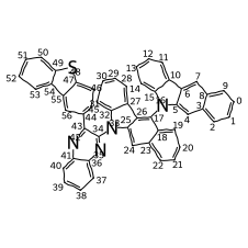 c1ccc2cc3c(cc2c1)c1ccccc1n3-c1c2ccccc2cc2c1c1ccccc1n2-c1nc2ccccc2nc1-c1ccc2sc3ccccc3c2c1